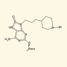 CCC[C@H](C)Oc1nc(N)c2[nH]c(=O)n(CCCC3CCN(C(C)C)CC3)c2n1